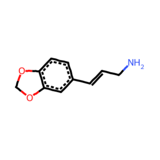 NC/C=C/c1ccc2c(c1)OCO2